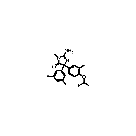 Cc1cc(F)cc(C2(c3ccc(OC(C)F)c(C)c3)N=C(N)N(C)C2=O)c1